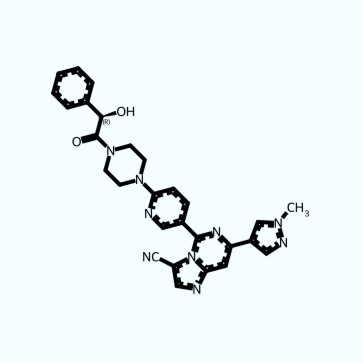 Cn1cc(-c2cc3ncc(C#N)n3c(-c3ccc(N4CCN(C(=O)[C@H](O)c5ccccc5)CC4)nc3)n2)cn1